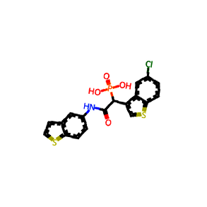 O=C(Nc1ccc2sccc2c1)C(c1csc2ccc(Cl)cc12)P(=O)(O)O